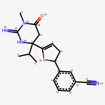 CC(C)C1(C2=CCC(c3cccc(C#N)c3)S2)CC(=O)N(C)C(=N)N1